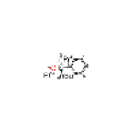 CCCC[Si](CCC)(OCC)c1ccccc1